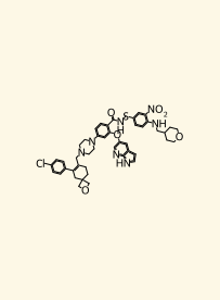 O=C(NSc1ccc(NCC2CCOCC2)c([N+](=O)[O-])c1)c1ccc(N2CCN(CC3=C(c4ccc(Cl)cc4)CC4(CC3)COC4)CC2)cc1Oc1cnc2[nH]ccc2c1